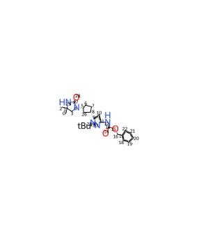 CC1(C)CN([C@@H]2CC[C@H](c3cc(NC(=O)OCc4ccccc4)nn3C(C)(C)C)C2)C(=O)N1